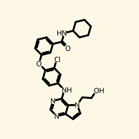 O=C(NC1CCCCC1)c1cccc(Oc2ccc(Nc3ncnc4ccn(CCO)c34)cc2Cl)c1